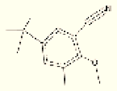 COc1c(C)cc(C(C)(C)C)cc1C#N